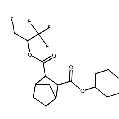 O=C(OC1CCCCC1)C1C2CCC(C2)C1C(=O)OC(CF)C(F)(F)F